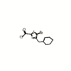 O=C(Cl)c1nc(CC2CCCCC2)c(Br)s1